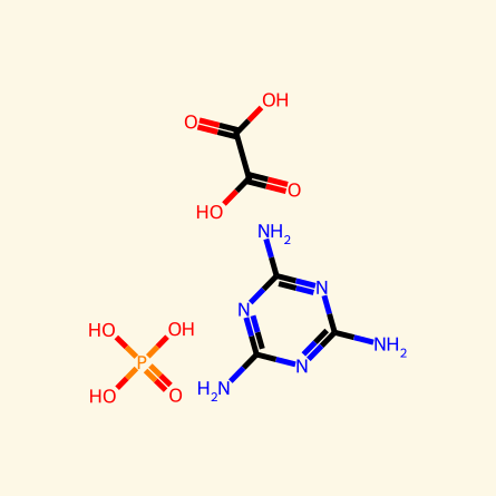 Nc1nc(N)nc(N)n1.O=C(O)C(=O)O.O=P(O)(O)O